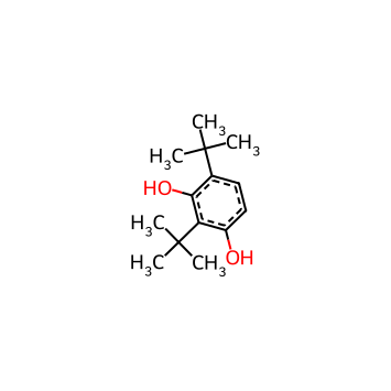 CC(C)(C)c1ccc(O)c(C(C)(C)C)c1O